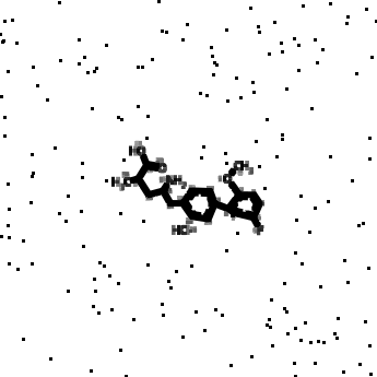 COc1ccc(F)cc1-c1ccc(CC(N)CC(C)C(=O)O)cc1.Cl